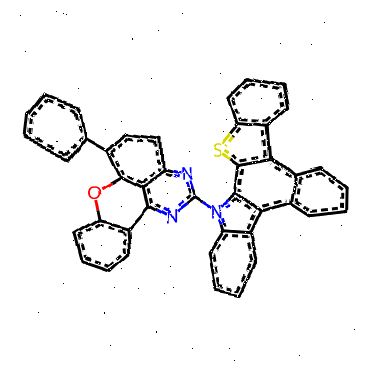 c1ccc(-c2ccc3nc(-n4c5ccccc5c5c6ccccc6c6c7ccccc7sc6c54)nc4c3c2Oc2ccccc2-4)cc1